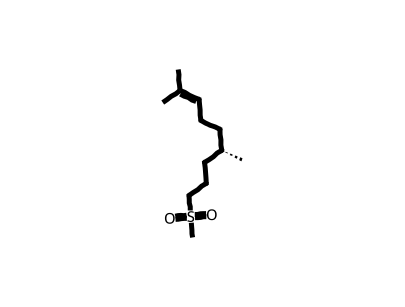 CC(C)=CCC[C@H](C)CCCS(C)(=O)=O